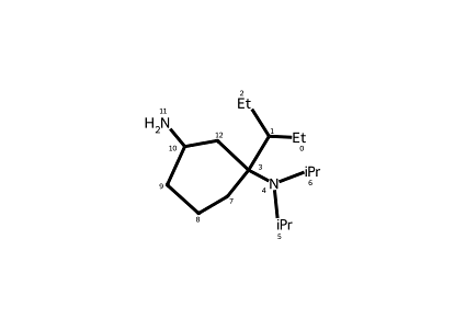 CCC(CC)C1(N(C(C)C)C(C)C)CCCC(N)C1